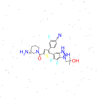 CC(C)(O)CN1NNc2cc(-c3sc(C(=O)N4CCC[C@@H](N)C4)cc3-c3ccc(C#N)c(F)c3)c(F)c(F)c21